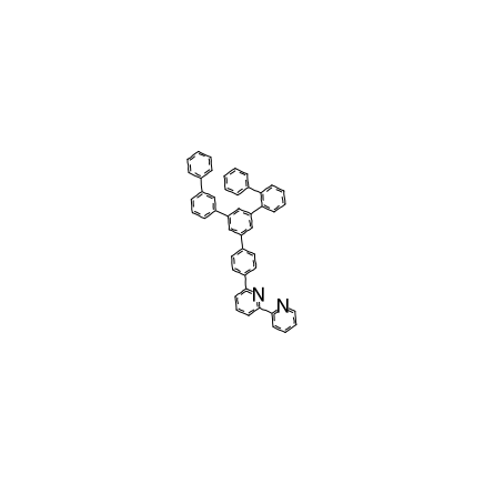 c1ccc(-c2cccc(-c3cc(-c4ccc(-c5cccc(-c6ccccn6)n5)cc4)cc(-c4ccccc4-c4ccccc4)c3)c2)cc1